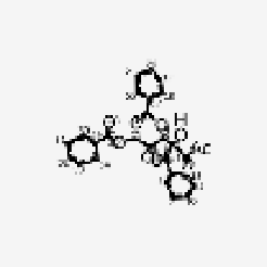 CC(=O)C(=O)[C@](O)(C(=O)c1ccccc1)[C@@H](OC(=O)c1ccccc1)[C@@H](O)COC(=O)c1ccccc1